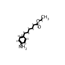 CCOC(=O)CCCCCc1ccc(N)cc1